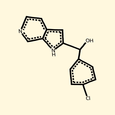 OC(c1ccc(Cl)cc1)c1cc2ccncc2[nH]1